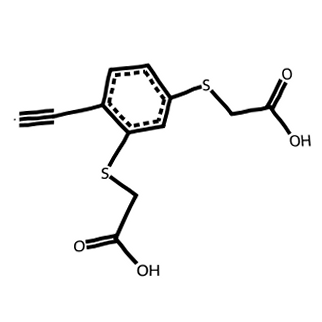 [C]#Cc1ccc(SCC(=O)O)cc1SCC(=O)O